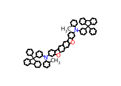 Cc1ccccc1N(c1cccc(C2(c3ccccc3)c3ccccc3-c3ccccc32)c1)c1ccc2c(c1)oc1cc3cc4oc5cc(N(c6cccc(C7(c8ccccc8)c8ccccc8-c8ccccc87)c6)c6ccccc6C)ccc5c4cc3cc12